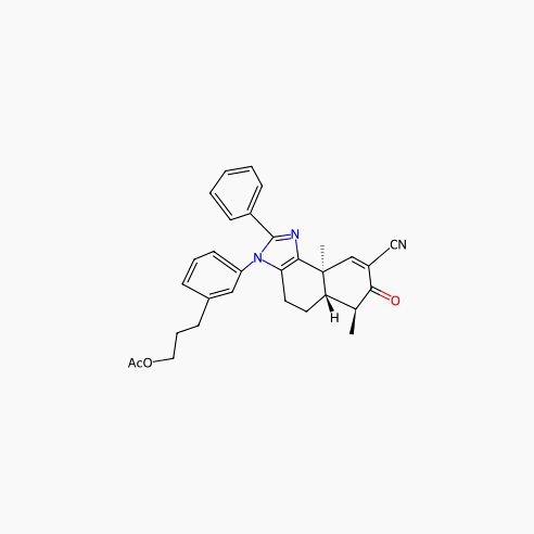 CC(=O)OCCCc1cccc(-n2c(-c3ccccc3)nc3c2CC[C@H]2[C@H](C)C(=O)C(C#N)=C[C@]32C)c1